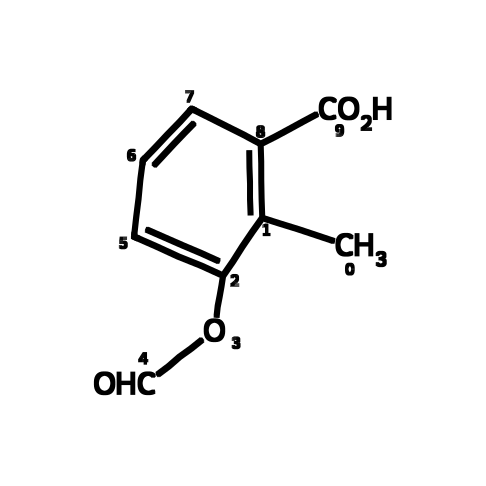 Cc1c(OC=O)cccc1C(=O)O